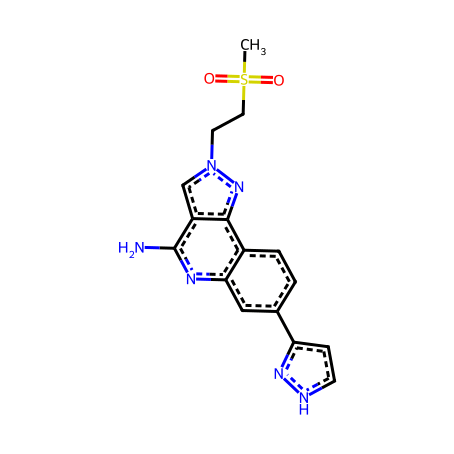 CS(=O)(=O)CCn1cc2c(N)nc3cc(-c4cc[nH]n4)ccc3c2n1